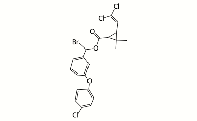 CC1(C)C(C=C(Cl)Cl)C1C(=O)OC(Br)c1cccc(Oc2ccc(Cl)cc2)c1